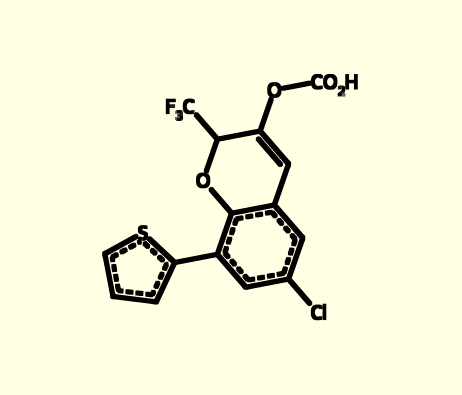 O=C(O)OC1=Cc2cc(Cl)cc(-c3cccs3)c2OC1C(F)(F)F